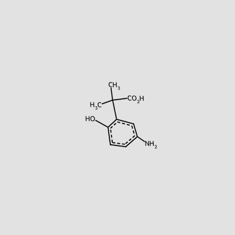 CC(C)(C(=O)O)c1cc(N)ccc1O